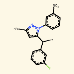 [CH2]CC(c1cccc(F)c1)c1cc(CCCC)nn1-c1cccc([N+](=O)[O-])c1